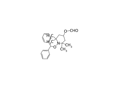 CC1(C)CC(OC=O)CC(C)(C)N1OC(c1ccccc1)c1ccccc1